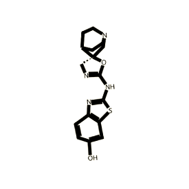 Oc1ccc2nc(NC3=NC[C@]4(CN5CCC4CC5)O3)sc2c1